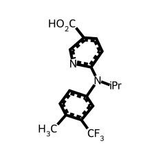 Cc1ccc(N(c2ccc(C(=O)O)cn2)C(C)C)cc1C(F)(F)F